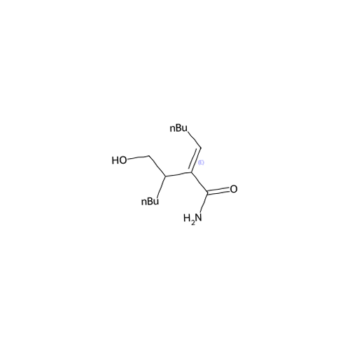 CCCC/C=C(/C(N)=O)C(CO)CCCC